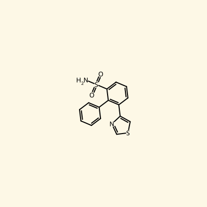 NS(=O)(=O)c1cccc(-c2cscn2)c1-c1ccccc1